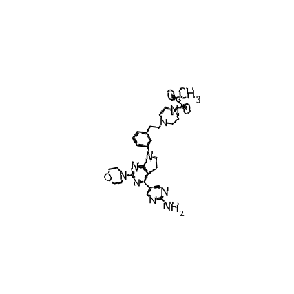 CS(=O)(=O)N1CCN(CCc2cccc(N3CCc4c(-c5cnc(N)nc5)nc(N5CCOCC5)nc43)c2)CC1